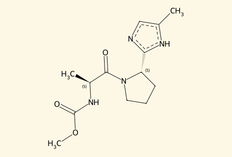 COC(=O)N[C@@H](C)C(=O)N1CCC[C@H]1c1ncc(C)[nH]1